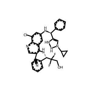 N#Cc1cnc2c(Cl)cc(N[C@H](C3=CN(C4CC4)NN3)c3ccccc3)cc2c1N[C@@H](c1ccccc1)C(F)(F)CO